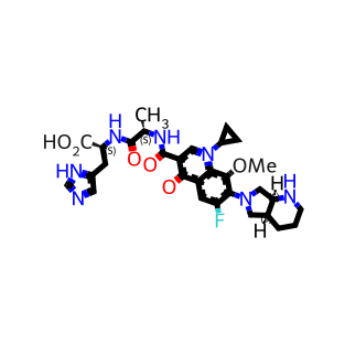 COc1c(N2C[C@@H]3CCCN[C@@H]3C2)c(F)cc2c(=O)c(C(=O)N[C@@H](C)C(=O)N[C@@H](Cc3cnc[nH]3)C(=O)O)cn(C3CC3)c12